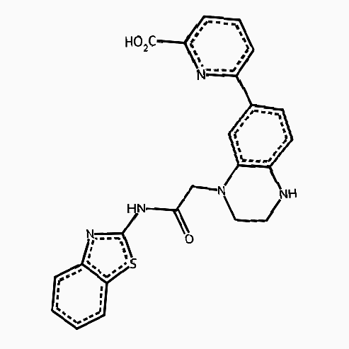 O=C(CN1CCNc2ccc(-c3cccc(C(=O)O)n3)cc21)Nc1nc2ccccc2s1